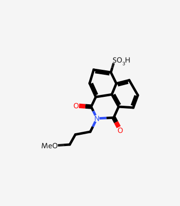 COCCCN1C(=O)c2cccc3c(S(=O)(=O)O)ccc(c23)C1=O